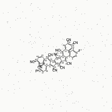 N#CC1=C(c2ccc(F)cc2)/C(=C(/C#N)c2ccc(C#N)c(C#N)c2)c2c(C#N)c3c(c(C#N)c21)C(C#N)=C(c1ccc(F)cc1)/C3=C(/C#N)c1ccc(C#N)c(C#N)c1